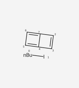 CCCCI.c1cc2ccc1-2